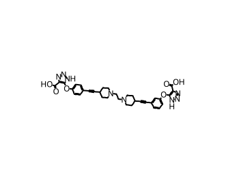 O=C(O)c1nn[nH]c1Oc1ccc(C#CC2CCN(CCN3CCC(C#Cc4cccc(Oc5[nH]nnc5C(=O)O)c4)CC3)CC2)cc1